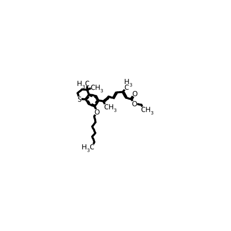 CCCCCCCOc1cc2c(cc1C(C)=CC=CC(C)=CC(=O)OCC)C(C)(C)CCS2